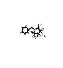 CC1(Cl)C(Cl)(Cl)C(=O)N(Cc2ccccc2)S1(=O)=O